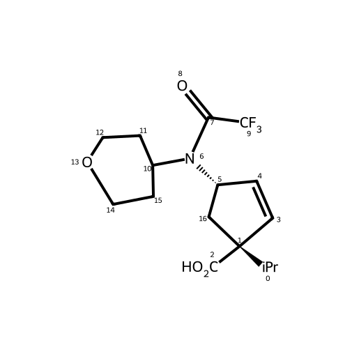 CC(C)[C@]1(C(=O)O)C=C[C@@H](N(C(=O)C(F)(F)F)C2CCOCC2)C1